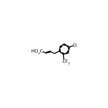 O=C(O)/C=C/Cc1ccc(Cl)cc1C(F)(F)F